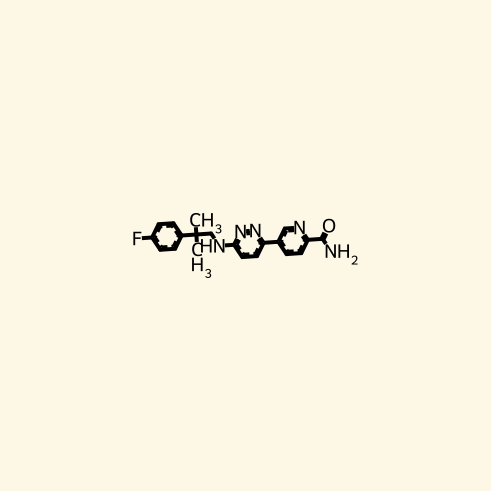 CC(C)(CNc1ccc(-c2ccc(C(N)=O)nc2)nn1)c1ccc(F)cc1